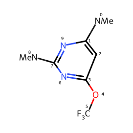 CNc1cc(OC(F)(F)F)nc(NC)n1